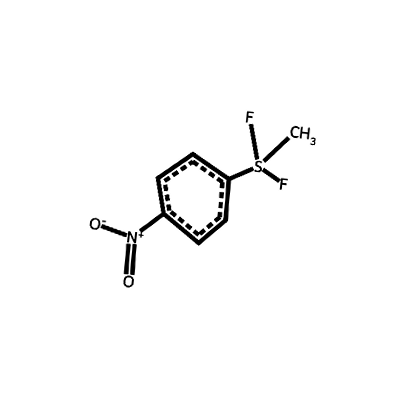 CS(F)(F)c1ccc([N+](=O)[O-])cc1